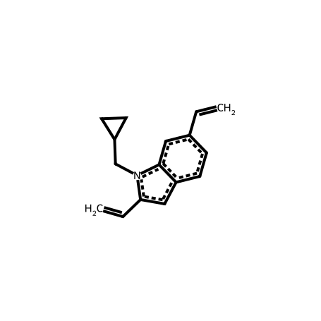 C=Cc1ccc2cc(C=C)n(CC3CC3)c2c1